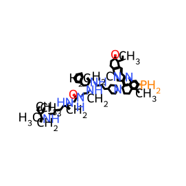 C=C(CCCCCNC(=C)C(C)(CC)CC)NCC(=O)NCC(=C)NC(Cc1ccccc1)C(=C)NCCCC1CCN(C2CCc3c(C)c(P)cc4nc5c(c2c34)CN2C(=C)C3=C(C=C52)C(CC)C(=O)CC3)CC1